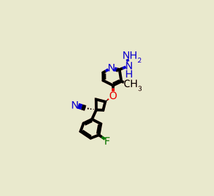 Cc1c(O[C@H]2C[C@](C#N)(c3cccc(F)c3)C2)ccnc1NN